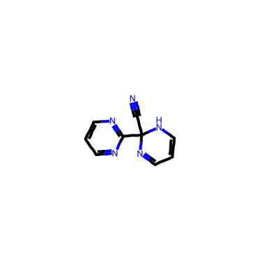 N#CC1(c2ncccn2)N=CC=CN1